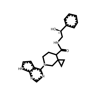 O=C(NC[C@@H](O)c1ccccc1)C1CCN(c2ncnc3[nH]ccc23)CC12CC2